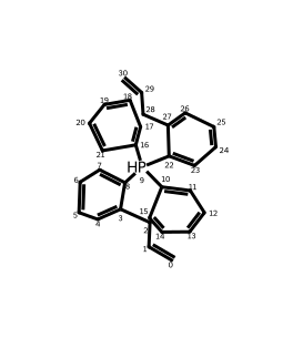 C=CCc1ccccc1[PH](c1ccccc1)(c1ccccc1)c1ccccc1CC=C